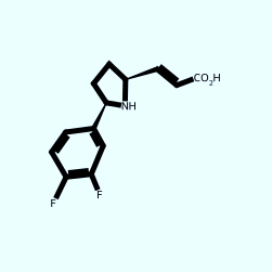 O=C(O)C=C[C@@H]1CC[C@H](c2ccc(F)c(F)c2)N1